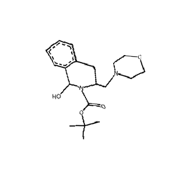 CC(C)(C)OC(=O)N1C(CN2CCOCC2)Cc2ccccc2C1O